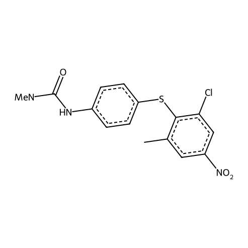 CNC(=O)Nc1ccc(Sc2c(C)cc([N+](=O)[O-])cc2Cl)cc1